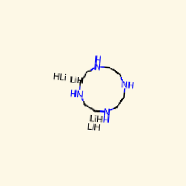 C1CNCCNCCNCCN1.[LiH].[LiH].[LiH].[LiH]